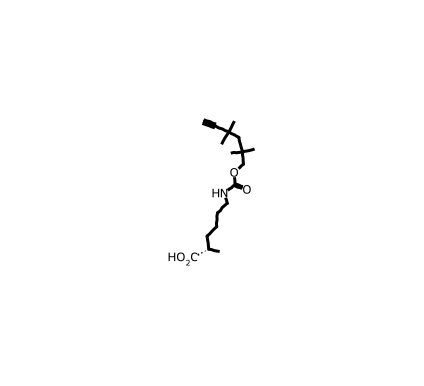 C#CC(C)(C)CC(C)(C)COC(=O)NCCCC[C@H](C)C(=O)O